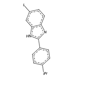 CC(C)c1ccc(-c2nc3ccc(I)cc3[nH]2)cc1